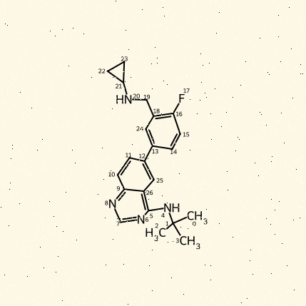 CC(C)(C)Nc1ncnc2ccc(-c3ccc(F)c(CNC4CC4)c3)cc12